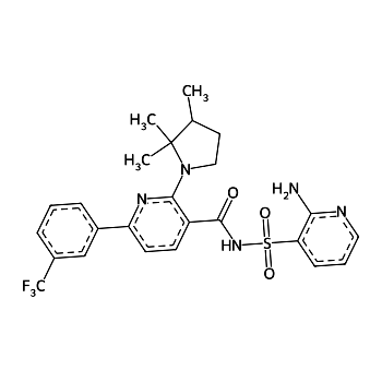 CC1CCN(c2nc(-c3cccc(C(F)(F)F)c3)ccc2C(=O)NS(=O)(=O)c2cccnc2N)C1(C)C